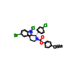 COc1ccc(OC(=O)N2CCc3c(n(Cl)c4ccc(Br)cc34)[C@@H]2c2ccc(Cl)cc2)cc1